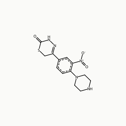 O=C1NN=C(c2ccc(N3CCNCC3)c([N+](=O)[O-])c2)CS1